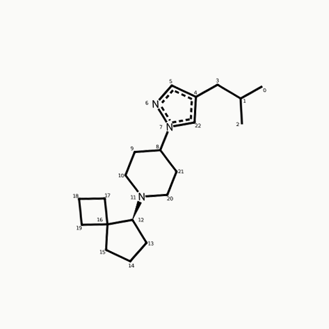 CC(C)Cc1cnn(C2CCN([C@H]3CCCC34CCC4)CC2)c1